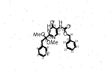 COC(Cc1cccnc1)(OC)c1ncc(NC(=O)OCc2ccccc2)c(=O)[nH]1